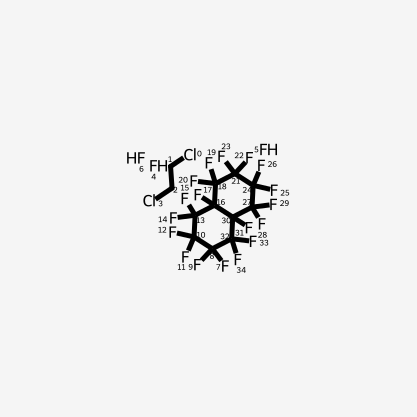 ClCCCl.F.F.F.FC1(F)C(F)(F)C(F)(F)C2(F)C(F)(F)C(F)(F)C(F)(F)C(F)(F)C2(F)C1(F)F